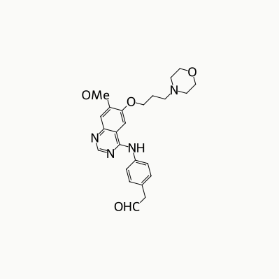 COc1cc2ncnc(Nc3ccc(CC=O)cc3)c2cc1OCCCN1CCOCC1